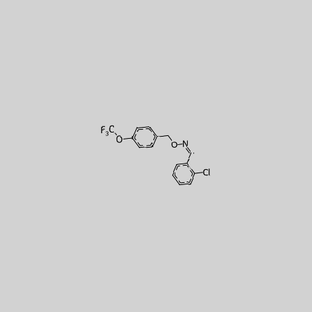 FC(F)(F)Oc1ccc(CO/N=[C]\c2ccccc2Cl)cc1